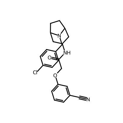 N#Cc1cccc(OCC(=O)NC2CC3CCC(C2)N3Cc2ccc(Cl)cc2)c1